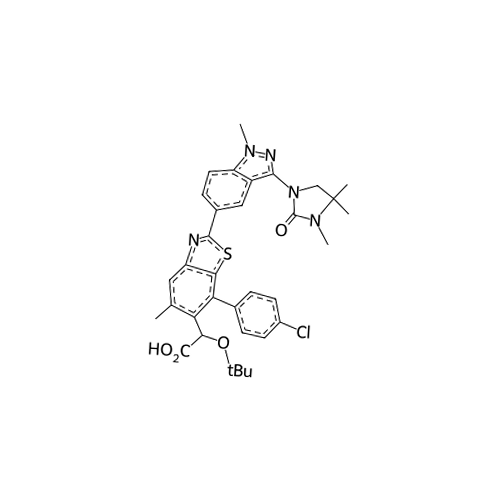 Cc1cc2nc(-c3ccc4c(c3)c(N3CC(C)(C)N(C)C3=O)nn4C)sc2c(-c2ccc(Cl)cc2)c1C(OC(C)(C)C)C(=O)O